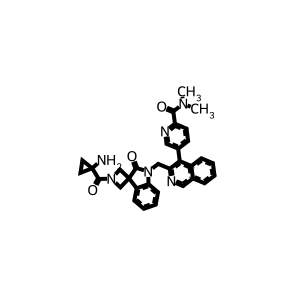 CN(C)C(=O)c1ccc(-c2c(CN3C(=O)C4(CN(C(=O)C5(N)CC5)C4)c4ccccc43)ncc3ccccc23)cn1